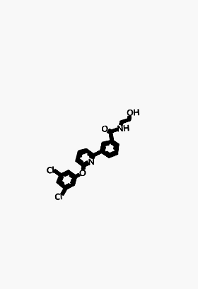 O=C(NCCO)c1cccc(-c2cccc(Oc3cc(Cl)cc(Cl)c3)n2)c1